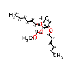 CCCCCCOC(CC)=C(OCCCCCC)OCOC